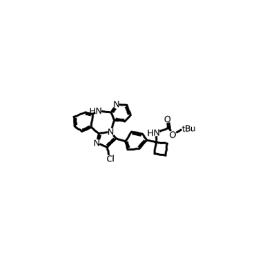 CC(C)(C)OC(=O)NC1(c2ccc(-c3c(Cl)nc4n3-c3cccnc3Nc3ccccc3-4)cc2)CCC1